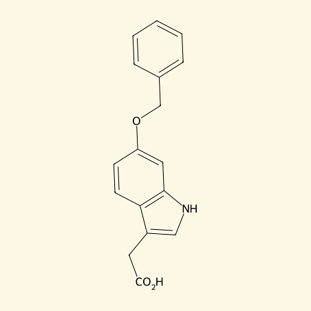 O=C(O)Cc1c[nH]c2cc(OCc3ccccc3)ccc12